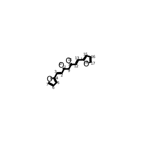 O=C(C=Cc1ccco1)CC(=O)C=Cc1ccco1